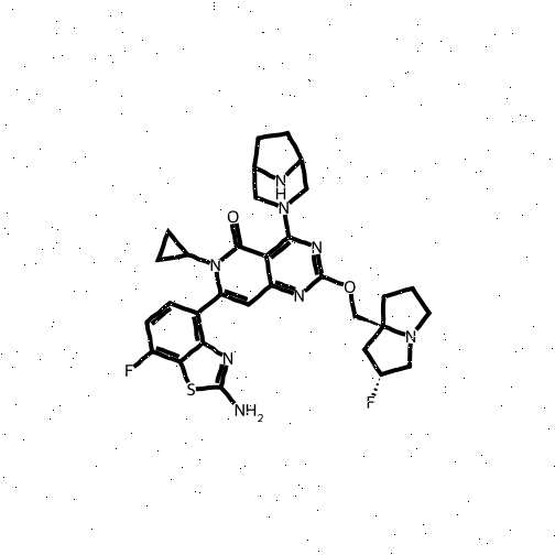 Nc1nc2c(-c3cc4nc(OC[C@@]56CCCN5C[C@H](F)C6)nc(N5CC6CCC(C5)N6)c4c(=O)n3C3CC3)ccc(F)c2s1